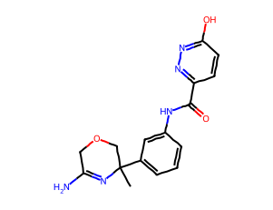 CC1(c2cccc(NC(=O)c3ccc(O)nn3)c2)COCC(N)=N1